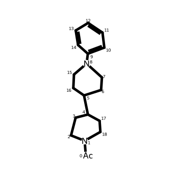 CC(=O)N1CCC(C2CCN(c3ccccc3)CC2)CC1